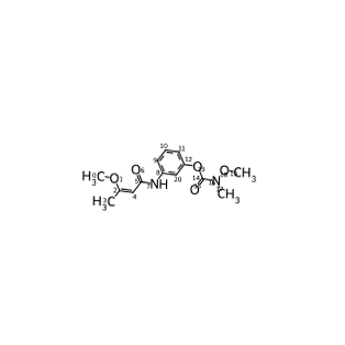 COC(C)=CC(=O)Nc1cccc(OC(=O)N(C)OC)c1